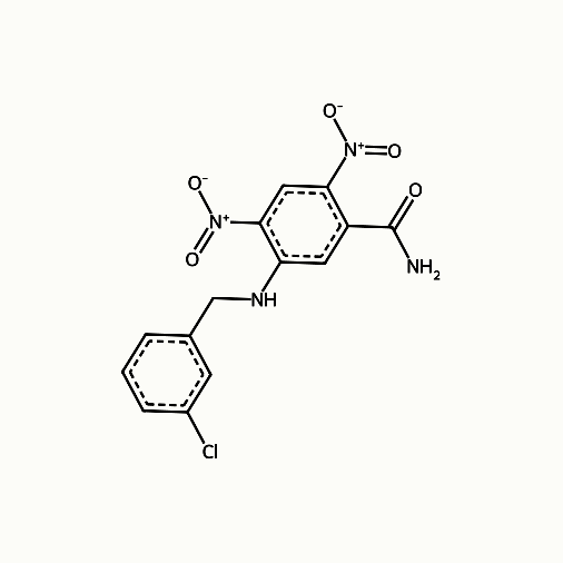 NC(=O)c1cc(NCc2cccc(Cl)c2)c([N+](=O)[O-])cc1[N+](=O)[O-]